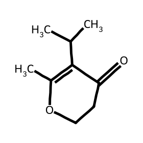 CC1=C(C(C)C)C(=O)CCO1